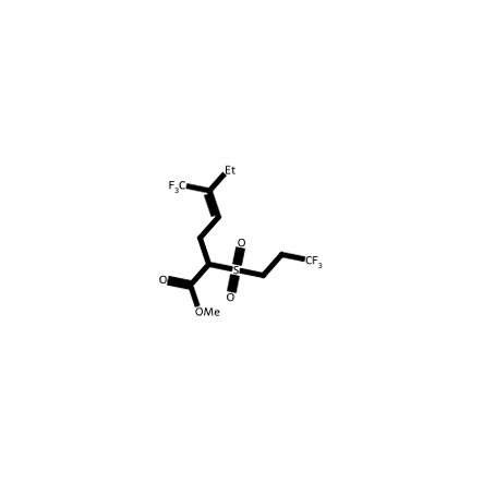 CC/C(=C/CC(C(=O)OC)S(=O)(=O)CCC(F)(F)F)C(F)(F)F